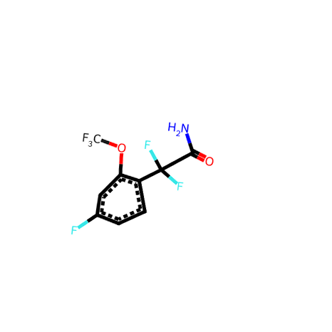 NC(=O)C(F)(F)c1ccc(F)cc1OC(F)(F)F